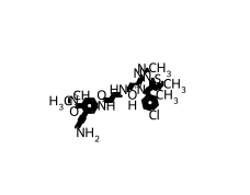 Cc1sc2c(c1C)C(c1ccc(Cl)cc1)=N[C@@H](CC(O)NCCCC(=O)Nc1ccc(C(=O)N(C)C)c(C#CCN)c1)c1nnc(C)n1-2